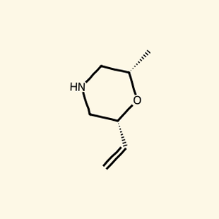 C=C[C@@H]1CNC[C@H](C)O1